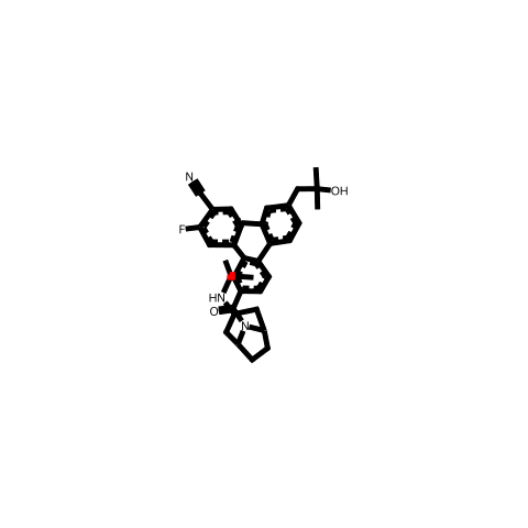 CC(C)NC1CC2CCC(C1)N2C(=O)c1ccc(-c2ccc(CC(C)(C)O)cc2F)c(-c2ccc(C#N)c(F)c2)c1